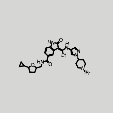 CC/C(Nc1cnn(C2CCN(C(C)C)CC2)c1)=C1/C(=O)Nc2ccc(C(=O)NCC3CCC(C4CC4)O3)cc21